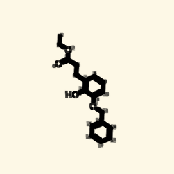 CCOC(=O)CCc1cccc(OCc2ccccc2)c1O